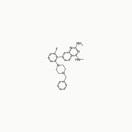 CNc1nc(N)nc2cc(-c3c(F)cccc3N3CCN(Cc4ccccc4)CC3)ccc12